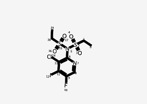 CCS(=O)(=O)N(c1ncc(F)c(I)c1Cl)S(=O)(=O)CC